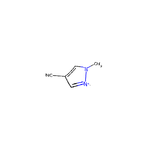 CN1C=C(C#N)C=[N+]1